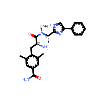 CON(C(=O)[C@@H](N)Cc1c(C)cc(C(N)=O)cc1C)[C@@H](C)c1nc(-c2ccccc2)c[nH]1